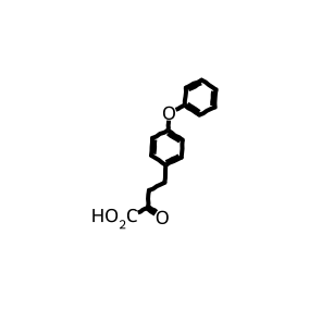 O=C(O)C(=O)CCc1ccc(Oc2ccccc2)cc1